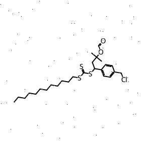 CCCCCCCCCCCCSC(=S)SC(CC(C)(C)OC=O)c1ccc(CCl)cc1